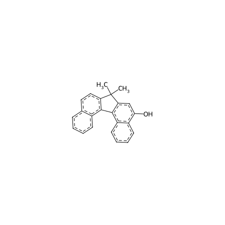 CC1(C)c2ccc3ccccc3c2-c2c1cc(O)c1ccccc21